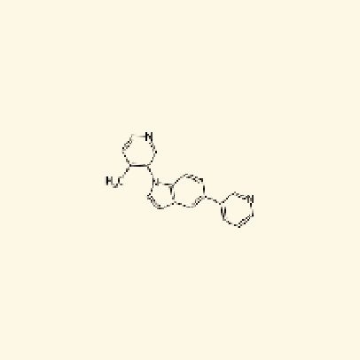 Cc1ccncc1-n1ccc2cc(-c3cccnc3)ccc21